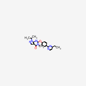 CCc1ccnc(-c2ccc(Oc3nc4c(cnn4C(C)C)c(=O)n3C)cc2)n1